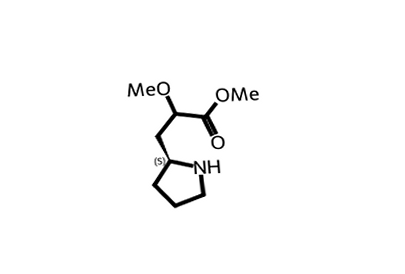 COC(=O)C(C[C@@H]1CCCN1)OC